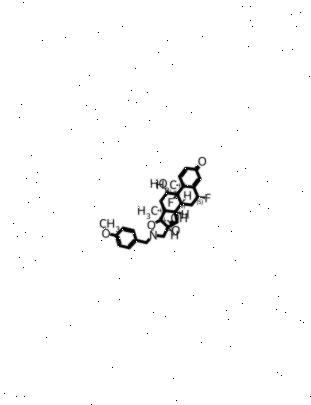 COc1ccc(CN2C[C@@H]3C[C@H]4[C@@H]5C[C@H](F)C6=CC(=O)C=C[C@]6(C)[C@@]5(F)[C@@H](O)C[C@]4(C)[C@]3(C(=O)O)O2)cc1